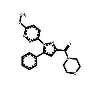 COc1ccc(-n2nc(C(=O)N3CCOCC3)cc2-c2ccccc2)nn1